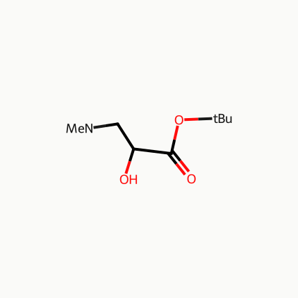 CNCC(O)C(=O)OC(C)(C)C